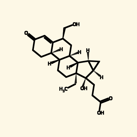 CC[C@]12CC[C@H]3[C@@H](C[C@H](CO)C4=CC(=O)CC[C@@H]43)[C@@H]1[C@H]1C[C@H]1[C@@]2(O)CCC(=O)O